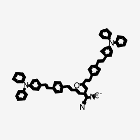 [C-]#[N+]C(C#N)=C1C=C(C=Cc2ccc(C=Cc3ccc(N(c4ccccc4)c4ccccc4)cc3)cc2)OC(C=Cc2ccc(C=Cc3ccc(N(c4ccccc4)c4ccccc4)cc3)cc2)=C1